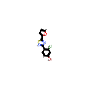 Clc1cc(Br)ccc1-c1nsc(-c2ccco2)n1